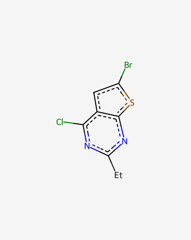 CCc1nc(Cl)c2cc(Br)sc2n1